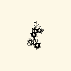 Nc1nc2ccc(C(=O)N3CCOC[C@@H]3c3ccccc3)cc2c2c1COC2